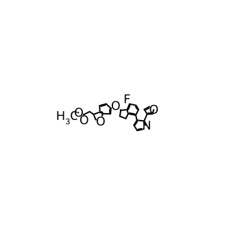 COC(=O)CC1COc2cc(O[C@@H]3CCc4c(-c5cccnc5-c5ccoc5)ccc(F)c43)ccc21